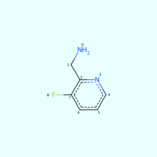 NCc1ncccc1F